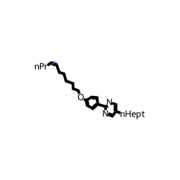 CCC/C=C\CCCCCCOc1ccc(-c2ncc(CCCCCCC)cn2)cc1